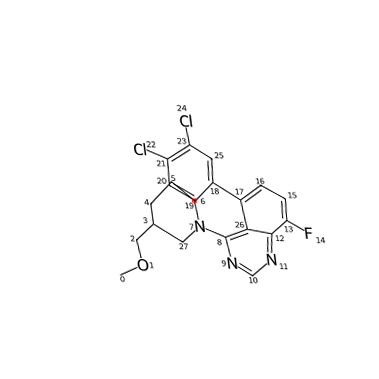 COCC1CCCN(c2ncnc3c(F)ccc(-c4ccc(Cl)c(Cl)c4)c23)C1